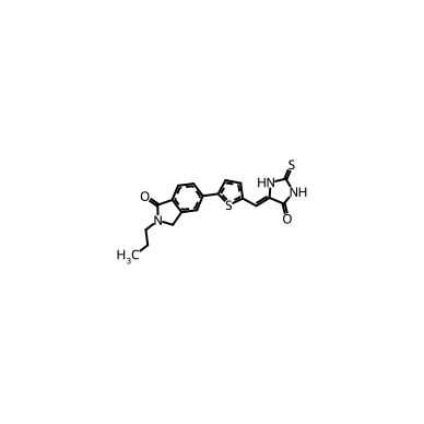 CCCN1Cc2cc(-c3ccc(/C=C4\NC(=S)NC4=O)s3)ccc2C1=O